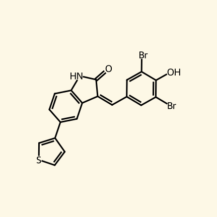 O=C1Nc2ccc(-c3ccsc3)cc2C1=Cc1cc(Br)c(O)c(Br)c1